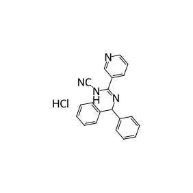 Cl.N#CN/C(=N\C(c1ccccc1)c1ccccc1)c1cccnc1